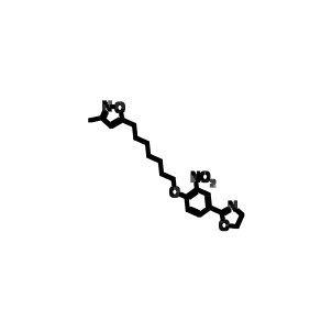 Cc1cc(CCCCCCCOc2ccc(C3=NCCO3)cc2[N+](=O)[O-])on1